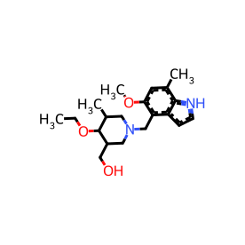 CCOC1C(C)CN(Cc2c(OC)cc(C)c3[nH]ccc23)CC1CO